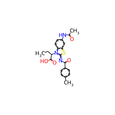 CCC(C(=O)O)n1/c(=N/C(=O)c2ccc(C)cc2)sc2cc(NC(C)=O)ccc21